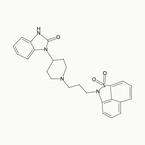 O=c1[nH]c2ccccc2n1C1CCN(CCCN2c3cccc4cccc(c34)S2(=O)=O)CC1